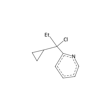 CCC(Cl)(c1ccccn1)C1CC1